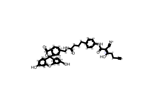 C#CCC/C(O)=C(\C#N)C(=O)Nc1ccc(CCCC(=O)NCc2ccc3c(c2)C2(OC3=O)c3ccc(O)cc3Oc3cc(O)ccc32)cc1